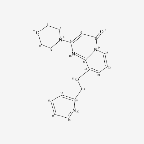 O=c1cc(N2CCOCC2)nc2c(OCc3ccccn3)cccn12